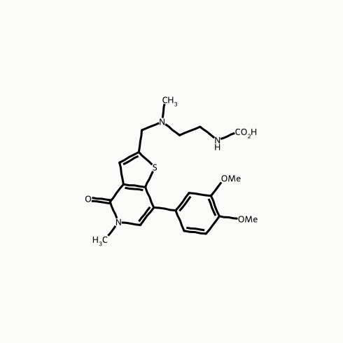 COc1ccc(-c2cn(C)c(=O)c3cc(CN(C)CCNC(=O)O)sc23)cc1OC